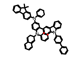 CC1(C)c2ccccc2-c2ccc(N(C3=CCCC=C3)c3ccc(N(c4ccccc4)C4C=c5ccccc5=CC4)c(-c4ccc5c(c4)c4ccccc4n5-c4ccc(-c5ccccc5)cc4)c3)cc21